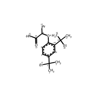 CCC(C)(C)c1ccc(OC(C([NH])=O)C(C)C)c(C(C)(C)CC)c1